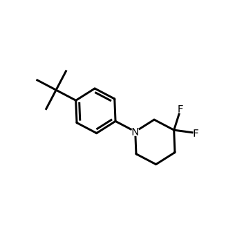 CC(C)(C)c1ccc(N2CCCC(F)(F)C2)cc1